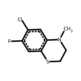 CN1CCSc2cc(F)c(Cl)cc21